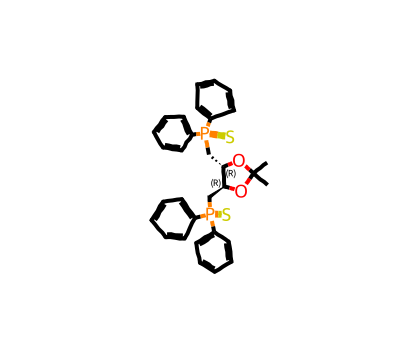 CC1(C)O[C@@H](CP(=S)(c2ccccc2)c2ccccc2)[C@H](CP(=S)(c2ccccc2)c2ccccc2)O1